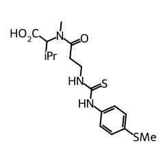 CSc1ccc(NC(=S)NCCC(=O)N(C)C(C(=O)O)C(C)C)cc1